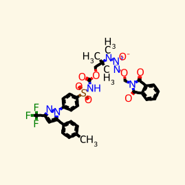 Cc1ccc(-c2cc(C(F)(F)F)nn2-c2ccc(S(=O)(=O)NC(=O)OCC(C)(C)N(C)[N+]([O-])=NOCN3C(=O)c4ccccc4C3=O)cc2)cc1